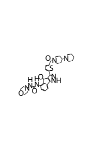 O=C(Nc1cccc2c1C(=O)c1c(-c3ccc(C(=O)N4CCC(N5CCCCC5)CC4)s3)n[nH]c1-2)NN1CCOCC1